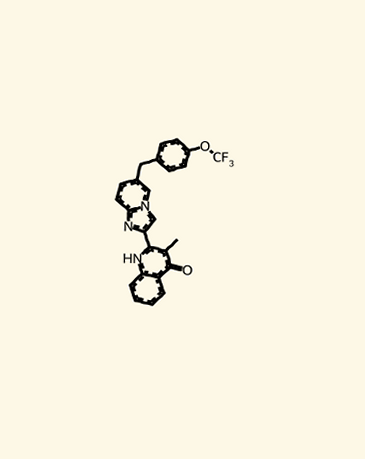 Cc1c(-c2cn3cc(Cc4ccc(OC(F)(F)F)cc4)ccc3n2)[nH]c2ccccc2c1=O